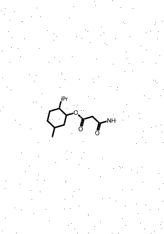 CC1CCC(C(C)C)C(OC(=O)CC([NH])=O)C1